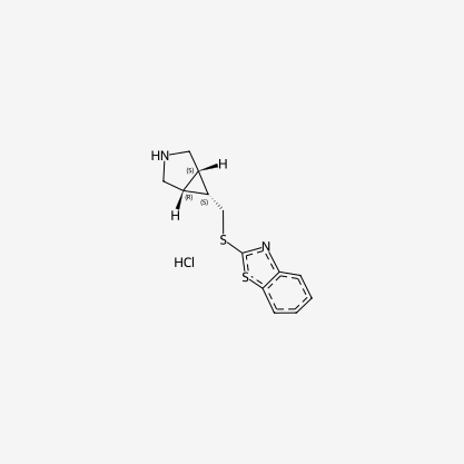 Cl.c1ccc2sc(SC[C@@H]3[C@@H]4CNC[C@@H]43)nc2c1